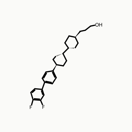 OCCC[C@H]1CC[C@H]([C@H]2CC[C@H](c3ccc(-c4ccc(F)c(F)c4)cc3)CC2)CC1